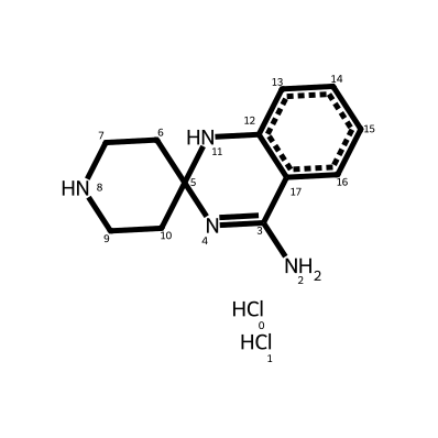 Cl.Cl.NC1=NC2(CCNCC2)Nc2ccccc21